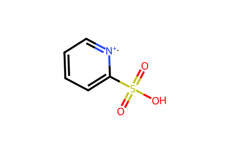 O=S(=O)(O)C1=CC=CC=[N+]1